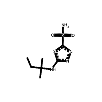 CCC(C)(C)Nc1nnc(S(N)(=O)=O)s1